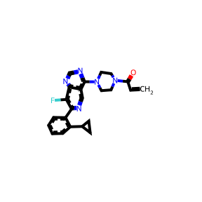 C=CC(=O)N1CCN(c2ncnc3c(F)c(-c4ccccc4C4CC4)ncc23)CC1